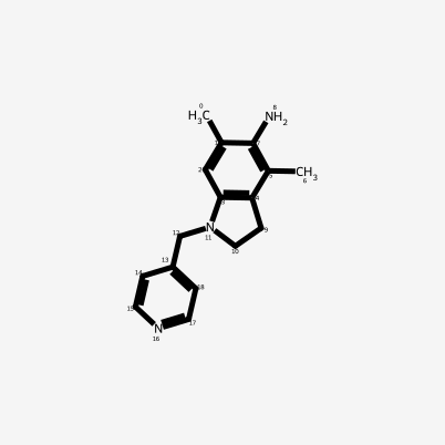 Cc1cc2c(c(C)c1N)CCN2Cc1ccncc1